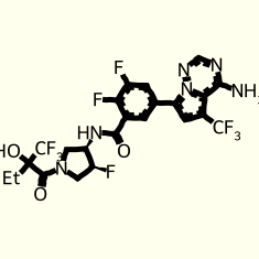 CCC(O)(C(=O)N1C[C@H](F)[C@H](NC(=O)c2cc(-c3cc(C(F)(F)F)c4c(N)ncnn34)cc(F)c2F)C1)C(F)(F)F